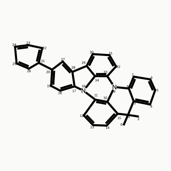 CC1(C)c2ccccc2N2c3c(cccc31)-n1c3ccc(-c4ccccc4)cc3c3cccc2c31